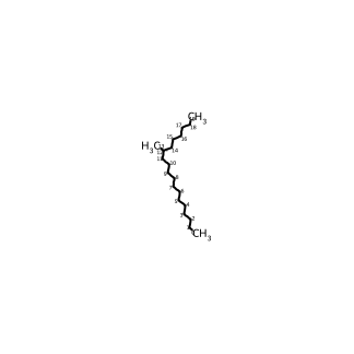 CCCCCCCCCCCC[C](C)CCCCCC